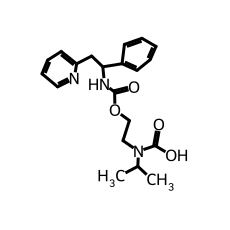 CC(C)N(CCOC(=O)NC(Cc1ccccn1)c1ccccc1)C(=O)O